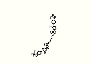 O=C(CCCCCCCC(=O)Oc1ccc(-c2ccc(C(F)(F)F)cc2)c(F)c1)Oc1ccc(-c2ccc(OC(F)(F)F)cc2)c(F)c1